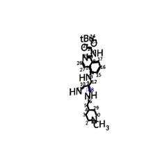 CN1CCC(CCN/C=C(\C=N)CNc2cccc3c(NC(=O)OC(C)(C)C)nccc23)CC1